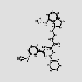 COc1cccc(C(=O)NC(CCC2CCCCC2)C(=O)NCCN2CCc3cccc(OC)c32)c1